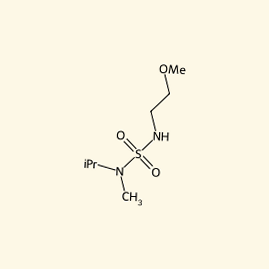 COCCNS(=O)(=O)N(C)C(C)C